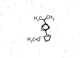 COC[C@H]1CCCN1c1ccc(C(C)C)cn1